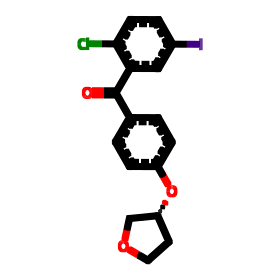 O=C(c1ccc(O[C@@H]2CCOC2)cc1)c1cc(I)ccc1Cl